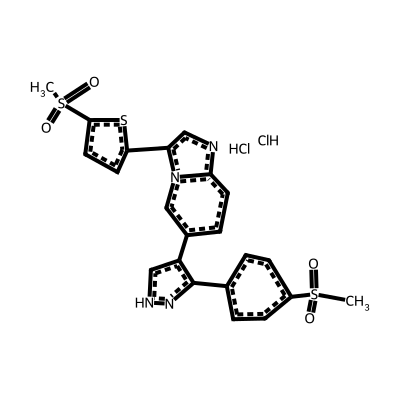 CS(=O)(=O)c1ccc(-c2n[nH]cc2-c2ccc3ncc(-c4ccc(S(C)(=O)=O)s4)n3c2)cc1.Cl.Cl